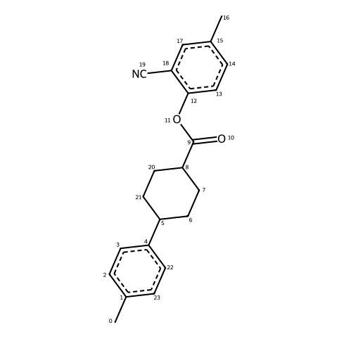 Cc1ccc(C2CCC(C(=O)Oc3ccc(C)cc3C#N)CC2)cc1